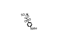 CNc1ccc(S(=O)(=O)C(C)OS(=O)(=O)O)cc1